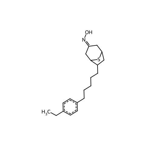 CCc1ccc(CCCCCC2CC3C/C(=N\O)CC2S3)cc1